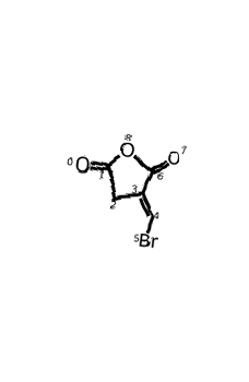 O=C1CC(=CBr)C(=O)O1